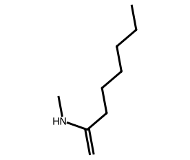 C=C(CCCCCC)NC